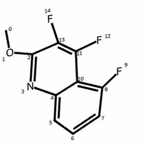 COc1nc2cccc(F)c2c(F)c1F